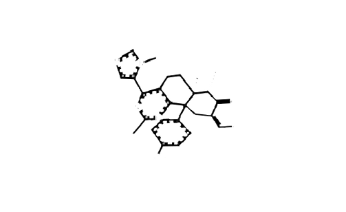 CCOC(=O)c1ccc(C23CC(=CO)C(=O)[C@@H](C)[C@@H]2CCc2c(-c4cncn4C)nc(C)nc23)cc1